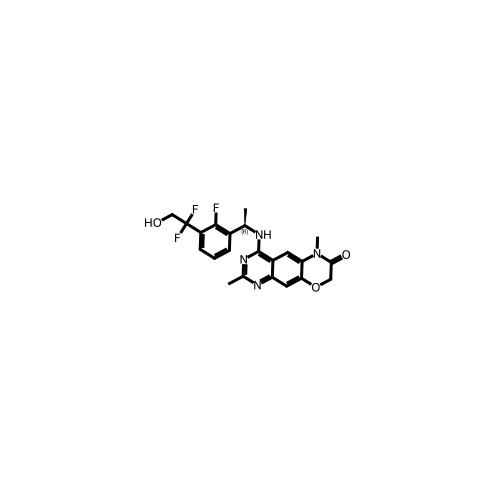 Cc1nc(N[C@H](C)c2cccc(C(F)(F)CO)c2F)c2cc3c(cc2n1)OCC(=O)N3C